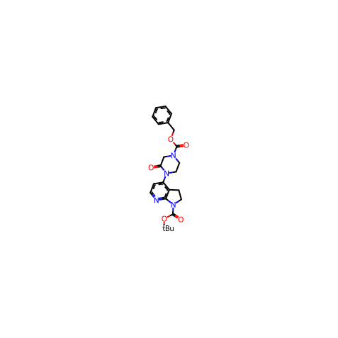 CC(C)(C)OC(=O)N1CCc2c(N3CCN(C(=O)OCc4ccccc4)CC3=O)ccnc21